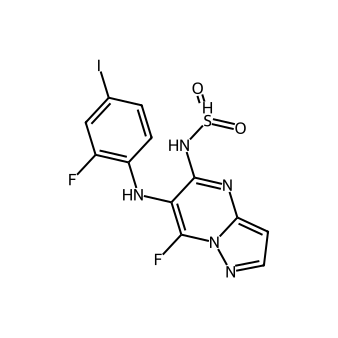 O=[SH](=O)Nc1nc2ccnn2c(F)c1Nc1ccc(I)cc1F